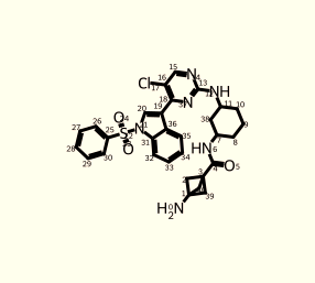 NC12CC(C(=O)NC3CCCC(Nc4ncc(Cl)c(-c5cn(S(=O)(=O)c6ccccc6)c6ccccc56)n4)C3)(C1)C2